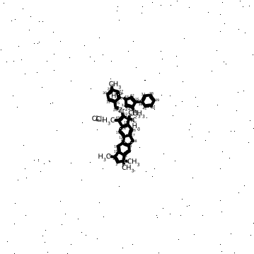 CC1=CC(C)(C)c2cc3c(cc21)-c1cc2c(cc1C3)C(C)(C)[C]([Zr+2](=[CH]c1ccc(C)cc1)[C]1=C(C)C(c3ccccc3)=CC1C)=C2C.[Cl-].[Cl-]